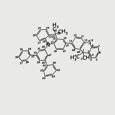 CC1(C)c2ccccc2Sc2ccc(-c3ccc4c(c3)C(C)(C)c3ccccc3N4c3cc(-c4ccccc4)cc(-c4ccccc4)c3)cc21